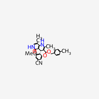 COc1cc(C#N)ccc1[C@H]1C(C(=O)OCc2ccc(C)cc2)=C(C)Nc2c(C)c[nH]c(=O)c21